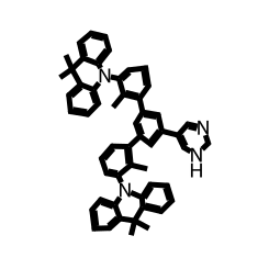 Cc1c(-c2cc(C3=CNCN=C3)cc(-c3cccc(N4c5ccccc5C(C)(C)c5ccccc54)c3C)c2)cccc1N1c2ccccc2C(C)(C)c2ccccc21